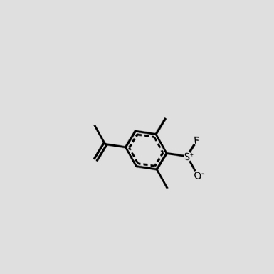 C=C(C)c1cc(C)c([S+]([O-])F)c(C)c1